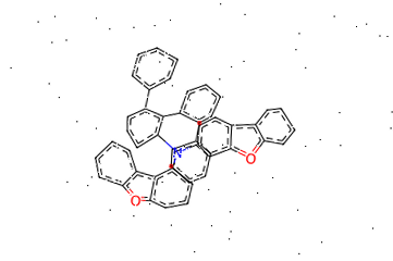 c1ccc(-c2ccccc2-c2c(-c3ccccc3)cccc2N(c2ccc3c(c2)oc2ccccc23)c2cccc3oc4ccccc4c23)cc1